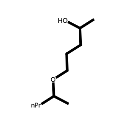 CCCC(C)OCCCC(C)O